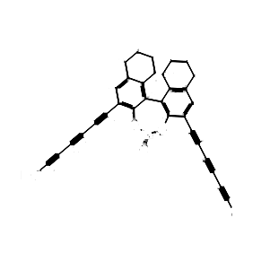 CC#CC#CC#Cc1cc2c(c3c1OS(=O)Oc1c(C#CC#CC#CC)cc4c(c1-3)CCCC4)CCCC2